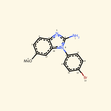 COc1ccc2nc(N)n(-c3ccc(Br)cc3)c2c1